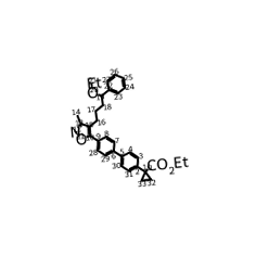 CCOC(=O)C1(c2ccc(-c3ccc(-c4onc(C)c4CCCC(OCC)c4ccccc4)cc3)cc2)CC1